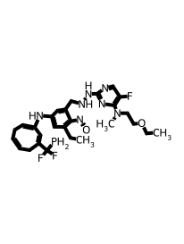 CCOCCN(C)c1nc(NNCc2cc(NC3=C/CC=CC/C(C(F)(F)P)=C\3)cc(CC)c2N=O)ncc1F